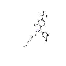 CCCCOC/C=C(\c1cn[nH]c1)c1ccc(C(F)(F)F)cc1F